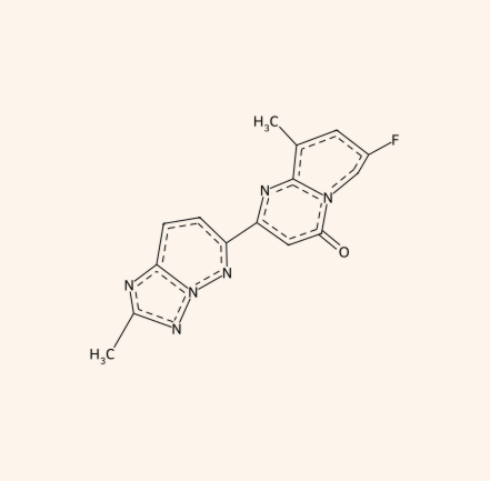 Cc1nc2ccc(-c3cc(=O)n4cc(F)cc(C)c4n3)nn2n1